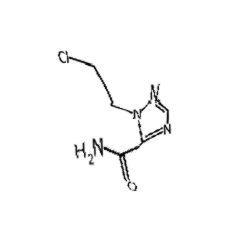 NC(=O)c1ncnn1CCCl